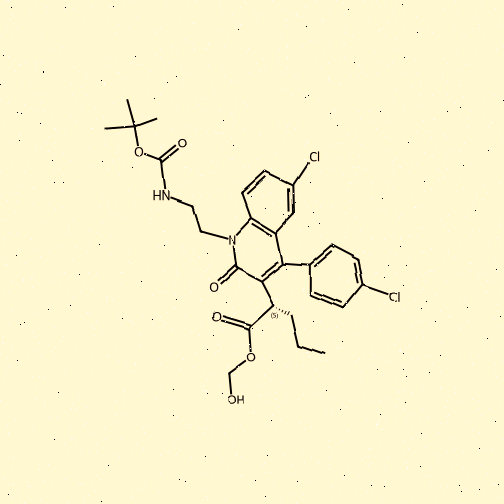 CCC[C@H](C(=O)OCO)c1c(-c2ccc(Cl)cc2)c2cc(Cl)ccc2n(CCNC(=O)OC(C)(C)C)c1=O